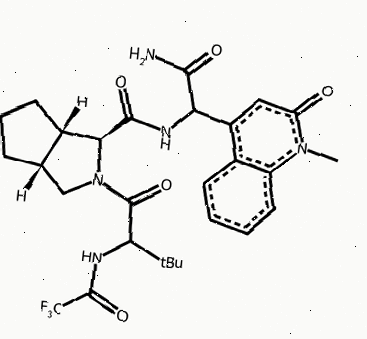 Cn1c(=O)cc(C(NC(=O)[C@@H]2[C@H]3CCC[C@H]3CN2C(=O)C(NC(=O)C(F)(F)F)C(C)(C)C)C(N)=O)c2ccccc21